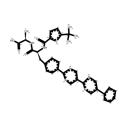 C[C@@H](NC(=O)[C@H](Cc1ccc(-c2ncc(-c3ncc(-c4ccccc4)cn3)cn2)cc1)NC(=O)c1ccc(C(C)(C)C)s1)C(=O)O